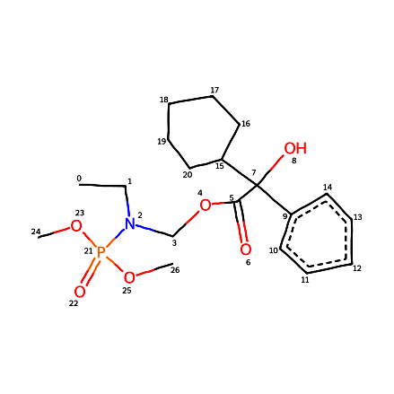 CCN(COC(=O)C(O)(c1ccccc1)C1CCCCC1)P(=O)(OC)OC